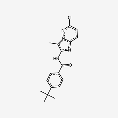 Cc1c(NC(=O)c2ccc(C(C)(C)C)cc2)nc2ccc(Cl)nn12